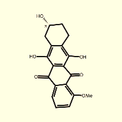 COc1cccc2c1C(=O)c1c(O)c3c(c(O)c1C2=O)C[C@H](O)CC3